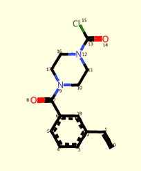 C=Cc1cccc(C(=O)N2CCN(C(=O)Cl)CC2)c1